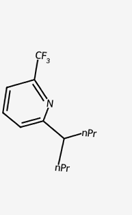 CCCC(CCC)c1cccc(C(F)(F)F)n1